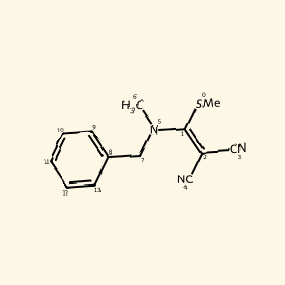 CSC(=C(C#N)C#N)N(C)Cc1ccccc1